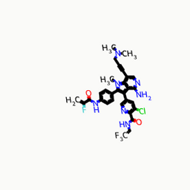 C=C(F)C(=O)Nc1ccc(-c2c(-c3cnc(C(=O)NCC(F)(F)F)c(Cl)c3)c3c(N)ncc(C#CCN(C)C)c3n2C)cc1